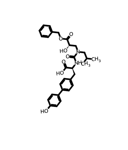 CC(C)CN(C[C@H](O)C(=O)OCc1ccccc1)C(=O)N[C@@H](Cc1ccc(-c2ccc(O)cc2)cc1)C(=O)O